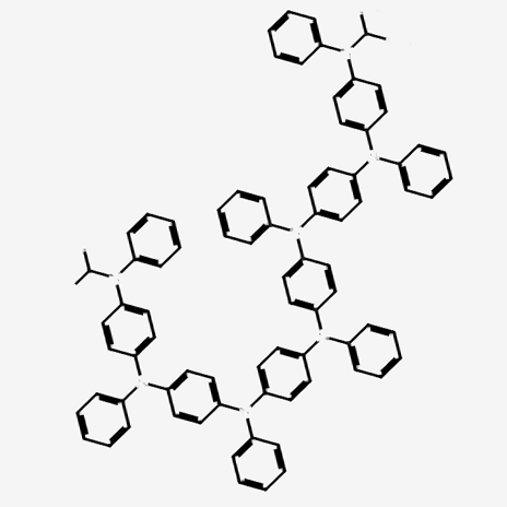 CC(C)N(c1ccccc1)c1ccc(N(c2ccccc2)c2ccc(N(c3ccccc3)c3ccc(N(c4ccccc4)c4ccc(N(c5ccccc5)c5ccc(N(c6ccccc6)c6ccc(N(c7ccccc7)C(C)C)cc6)cc5)cc4)cc3)cc2)cc1